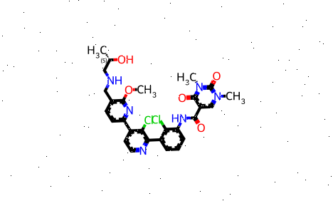 COc1nc(-c2ccnc(-c3cccc(NC(=O)c4cn(C)c(=O)n(C)c4=O)c3Cl)c2Cl)ccc1CNC[C@H](C)O